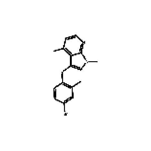 Cc1cc(Br)ccc1Sc1cn(C)c2nccc(C)c12